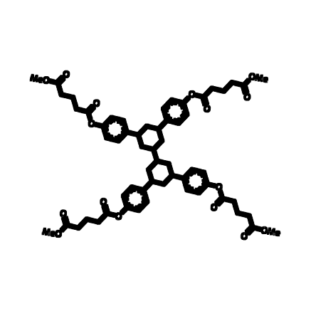 COC(=O)CCCC(=O)Oc1ccc(C2CC(c3ccc(OC(=O)CCCC(=O)OC)cc3)CC(C3CC(c4ccc(OC(=O)CCCC(=O)OC)cc4)CC(c4ccc(OC(=O)CCCC(=O)OC)cc4)C3)C2)cc1